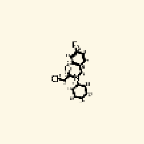 O=C(CCl)N(Cc1ccc(F)cc1)C1CCCCC1